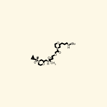 CC(C)(C)NCCCC1CN(C(=O)COCCC(C)(C)NCC2CN(S(=O)(=O)C3CC3)CCO2)CCO1